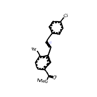 COC(=O)c1ccc(Br)c(/C=C/c2ccc(Cl)cc2)c1